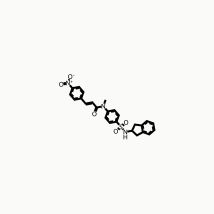 CN(C(=O)/C=C/c1ccc([N+](=O)[O-])cc1)c1ccc(S(=O)(=O)NC2Cc3ccccc3C2)cc1